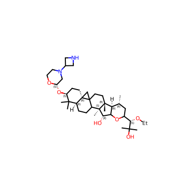 CCO[C@@H](C1C[C@@H](C)[C@H]2C(O1)[C@H](O)[C@@]1(C)C3CC[C@H]4C(C)(C)[C@@H](O[C@H]5CN(C6CNC6)CCO5)CC[C@@]45CC35CC[C@]21C)C(C)(C)O